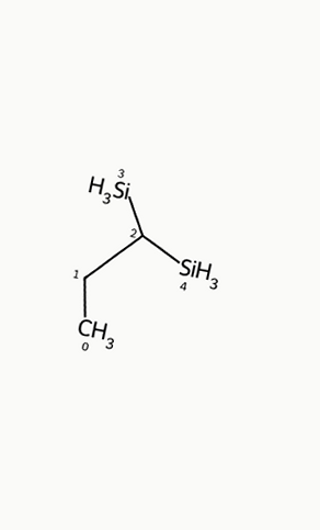 CCC([SiH3])[SiH3]